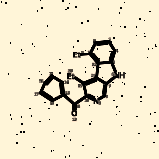 CCc1cccc2[nH]c3cnc(C(=O)c4ccccc4)c(CC)c3c12